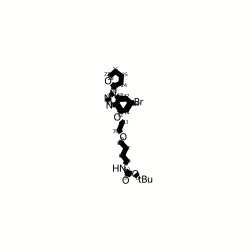 CC(C)(C)OC(=O)NCCCCOCCOc1cc(Br)cc2c1nnn2C1CCCCO1